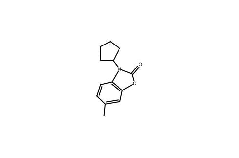 Cc1ccc2c(c1)oc(=O)n2C1CCCC1